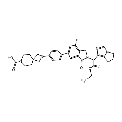 CCOC(=O)C(c1ncn2c1CCC2)N1Cc2c(F)cc(-c3ccc(N4CC5(CCN(C(=O)O)CC5)C4)cc3)cc2C1=O